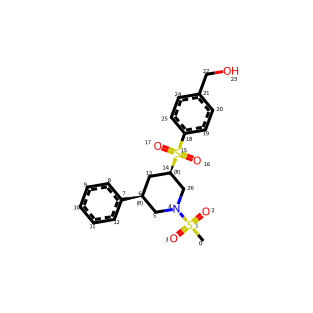 CS(=O)(=O)N1C[C@@H](c2ccccc2)C[C@@H](S(=O)(=O)c2ccc(CO)cc2)C1